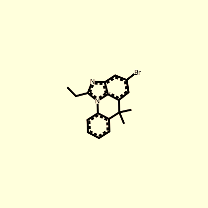 CCc1nc2cc(Br)cc3c2n1-c1ccccc1C3(C)C